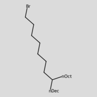 CCCCCCCCCCC(CCCCCCCC)CCCCCCCBr